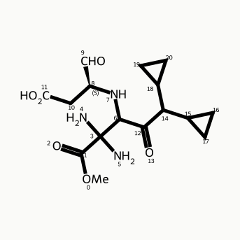 COC(=O)C(N)(N)C(N[C@H](C=O)CC(=O)O)C(=O)C(C1CC1)C1CC1